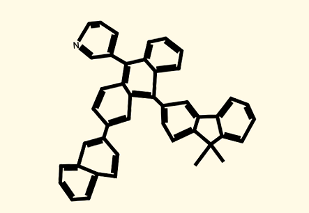 CC1(C)c2ccccc2-c2cc(-c3c4ccccc4c(-c4cccnc4)c4ccc(-c5ccc6ccccc6c5)cc34)ccc21